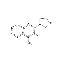 Nn1c(=O)c(C2CCNC2)cc2ccccc21